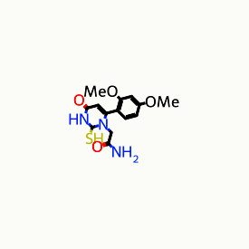 COc1ccc(C2=CC(=O)NC(S)N2CC(N)=O)c(OC)c1